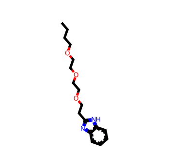 CCCCOCCOCCOCCc1nc2ccccc2[nH]1